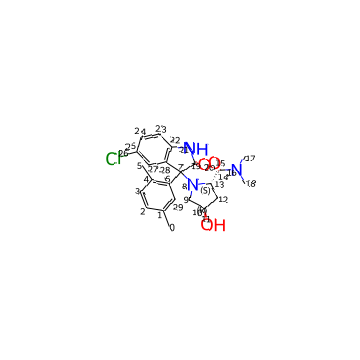 Cc1ccc(C)c(C2(N3C[C@H](O)C[C@H]3C(=O)N(C)C)C(=O)Nc3ccc(Cl)cc32)c1